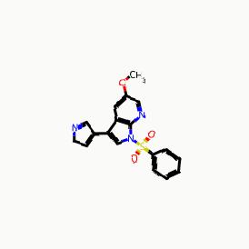 COc1cnc2c(c1)c(C1=CCN=C1)cn2S(=O)(=O)c1ccccc1